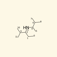 CCC(NC(C)C(C)C)C(C)C